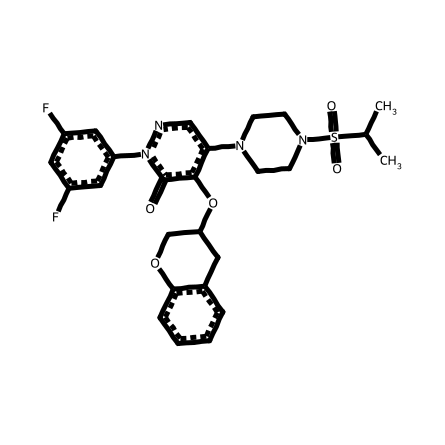 CC(C)S(=O)(=O)N1CCN(c2cnn(-c3cc(F)cc(F)c3)c(=O)c2OC2COc3ccccc3C2)CC1